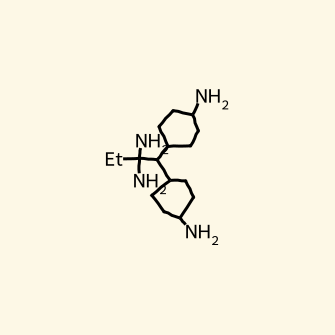 [CH2]CC(N)(N)C(C1CCC(N)CC1)C1CCC(N)CC1